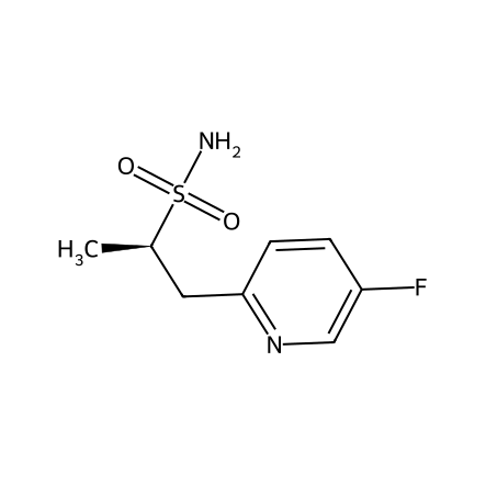 C[C@H](Cc1ccc(F)cn1)S(N)(=O)=O